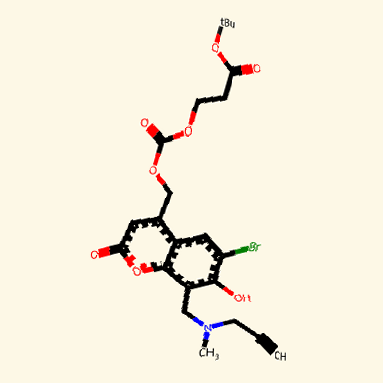 C#CCN(C)Cc1c(O)c(Br)cc2c(COC(=O)OCCC(=O)OC(C)(C)C)cc(=O)oc12